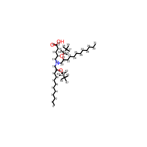 CCCCCCCCCCC(CN(CCCCC(=O)O)CC(CCCCCCCCCC)O[Si](C)(C)C(C)(C)C)O[Si](C)(C)C(C)(C)C